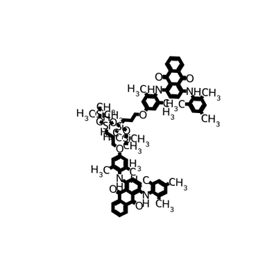 Cc1cc(C)c(Nc2ccc(Nc3c(C)cc(OCCC[SiH](O[Si](C)(C)C)O[Si](C)(CCCOc4cc(C)c(Nc5ccc(Nc6c(C)cc(C)cc6C)c6c5C(=O)c5ccccc5C6=O)c(C)c4)O[Si](C)(C)C)cc3C)c3c2C(=O)c2ccccc2C3=O)c(C)c1